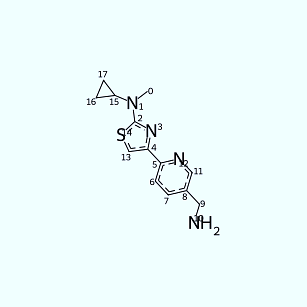 CN(c1nc(-c2ccc(CN)cn2)cs1)C1CC1